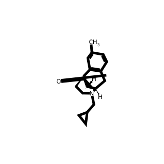 Cc1ccc2c(c1)[C@]13CCN(CC4CC4)[C@H](C2)[C@@H]1CCC(=O)C3